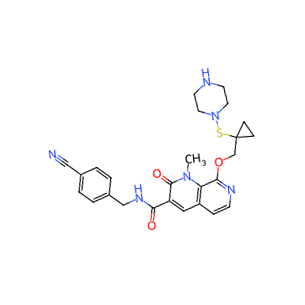 Cn1c(=O)c(C(=O)NCc2ccc(C#N)cc2)cc2ccnc(OCC3(SN4CCNCC4)CC3)c21